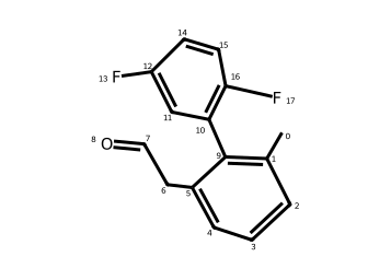 Cc1cccc(CC=O)c1-c1cc(F)ccc1F